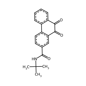 CC(C)(C)NC(=O)c1ccc2c(c1)C(=O)C(=O)c1ccccc1-2